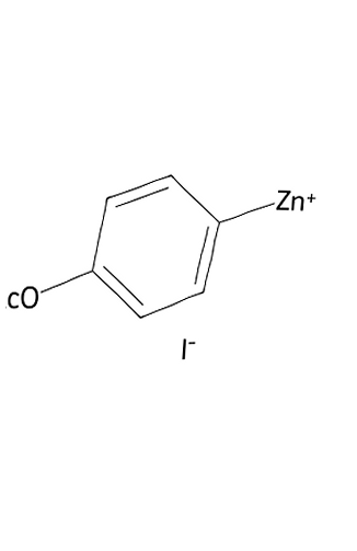 CC(=O)Oc1cc[c]([Zn+])cc1.[I-]